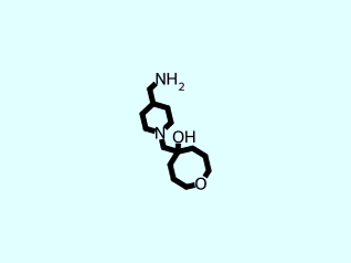 NCC1CCN(CC2(O)CCCOCCC2)CC1